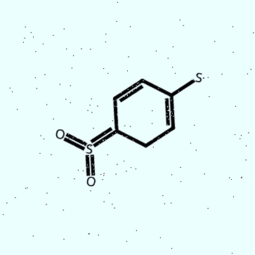 O=S(=O)=C1C=CC([S])=CC1